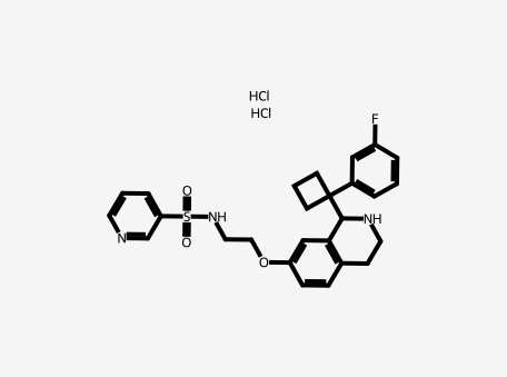 Cl.Cl.O=S(=O)(NCCOc1ccc2c(c1)C(C1(c3cccc(F)c3)CCC1)NCC2)c1cccnc1